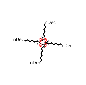 CCCCCCCCCCCCCCCC[Si]1(C)O[Si](C)(CCCCCCCCCCCCCCCC)O[Si](C)(CCCCCCCCCCCCCCCC)O[Si](C)(CCCCCCCCCCCCCCCC)O1